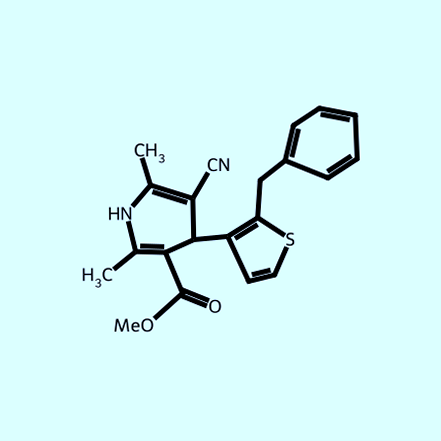 COC(=O)C1=C(C)NC(C)=C(C#N)C1c1ccsc1Cc1ccccc1